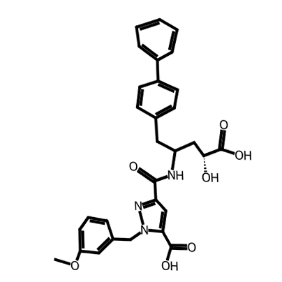 COc1cccc(Cn2nc(C(=O)NC(Cc3ccc(-c4ccccc4)cc3)C[C@@H](O)C(=O)O)cc2C(=O)O)c1